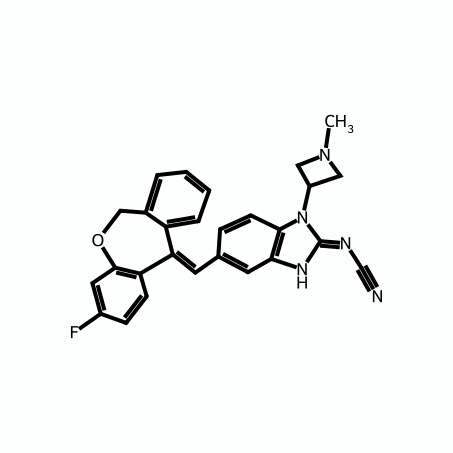 CN1CC(n2/c(=N/C#N)[nH]c3cc(/C=C4\c5ccccc5COc5cc(F)ccc54)ccc32)C1